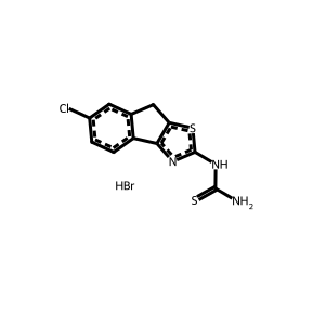 Br.NC(=S)Nc1nc2c(s1)Cc1cc(Cl)ccc1-2